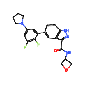 O=C(NC1COC1)c1n[nH]c2ccc(-c3cc(N4CCCC4)cc(F)c3F)cc12